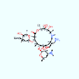 CC[C@H]1OC(=O)[C@H](C)[C@@H](O[C@H]2C[C@@](C)(OC)[C@@H](O)[C@H](C)O2)[C@H](C)[C@@H](OC2O[C@H](C)C[C@H](N(C)C)[C@H]2OCCCN)[C@](C)(O)C[C@@H](C)CN(C)[C@H](C)[C@@H](O)[C@]1(C)O